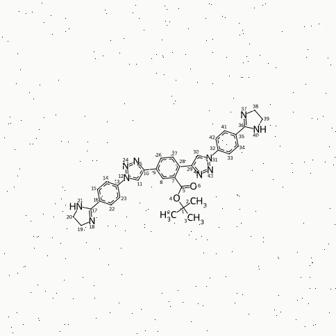 CC(C)(C)OC(=O)c1cc(-c2cn(-c3ccc(C4=NCCN4)cc3)nn2)ccc1-c1cn(-c2ccc(C3=NCCN3)cc2)nn1